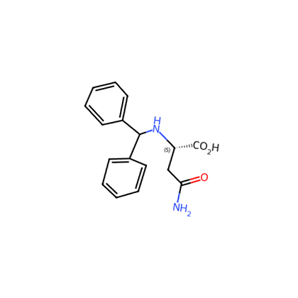 NC(=O)C[C@H](NC(c1ccccc1)c1ccccc1)C(=O)O